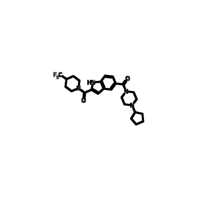 O=C(c1ccc2[nH]c(C(=O)N3CCC(C(F)(F)F)CC3)cc2c1)N1CCN(C2CCCC2)CC1